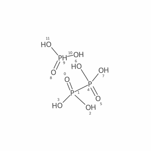 O=P(O)(O)P(=O)(O)O.O=[PH](O)O